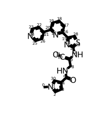 Cn1ccc(C(=O)NCC(=C=O)Nc2nc(-c3cccc(-c4ccncc4)n3)cs2)c1